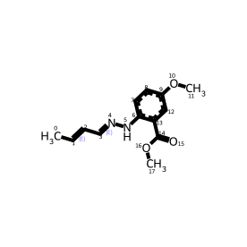 C/C=C/C=N/Nc1ccc(OC)cc1C(=O)OC